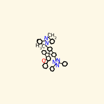 C=C(/N=C(\N=C(/C)c1ccc2c(c1)C1(c3cc(-c4nc(-c5ccccc5)nc(-c5ccccc5)n4)ccc3-2)c2ccccc2-c2c1ccc1c2oc2ccccc21)c1ccccc1)c1ccccc1